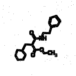 CCOC(=O)C(CC1CCCCC1)C(=O)NCCc1ccccc1